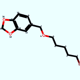 BrCCCCCOCc1ccc2c(c1)OCO2